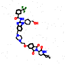 C=C1CCC(N2C(=O)c3ccc(OCCN4CCN(Cc5ccc6c(c5)nc(NC(=O)c5cccc(C(F)(F)F)c5)n6[C@H]5CC[C@@H](CO)CC5)CC4)cc3C2=O)C(=O)N1